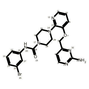 Nc1nccc(COc2cccnc2N2CCN(C(=O)Nc3cccc(Br)c3)CC2)n1